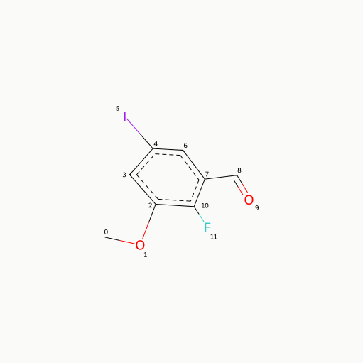 COc1cc(I)cc(C=O)c1F